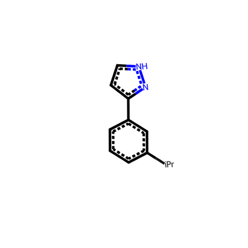 CC(C)c1cccc(-c2cc[nH]n2)c1